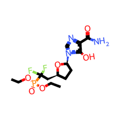 CCOP(=O)(OCC)C(F)(F)C[C@@H]1CC[C@H](n2cnc(C(N)=O)c2O)O1